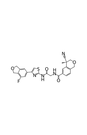 C[C@@]1(C#N)COCc2ccc(C(=O)NCC(=O)Nc3nc(-c4cc(F)c5c(c4)COC5)cs3)cc21